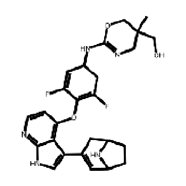 CC1(CO)CN=C(NC2C=C(F)C(Oc3ccnc4[nH]cc(C5=CC6CCC(C5)N6)c34)=C(F)C2)OC1